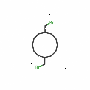 BrCC1CCCCCC(CBr)CCCCC1